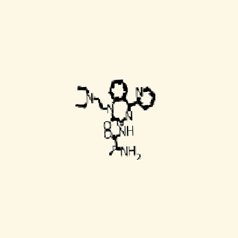 CCN(CC)CCN1C(=O)[C@@H](NC(=O)[C@H](C)N)N=C(c2ccccn2)c2ccccc21